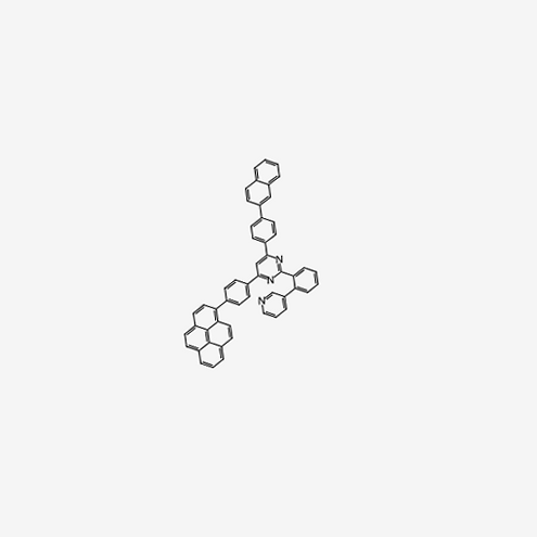 c1cncc(-c2ccccc2-c2nc(-c3ccc(-c4ccc5ccccc5c4)cc3)cc(-c3ccc(-c4ccc5ccc6cccc7ccc4c5c67)cc3)n2)c1